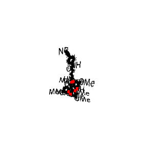 COc1cc(O)c([PH](CC(=O)NCCCC(=O)Nc2ccc(C#CC#N)cc2)(c2c(OC)cc(OC)cc2OC)c2c(OC)cc(OC)cc2OC)c(OC)c1